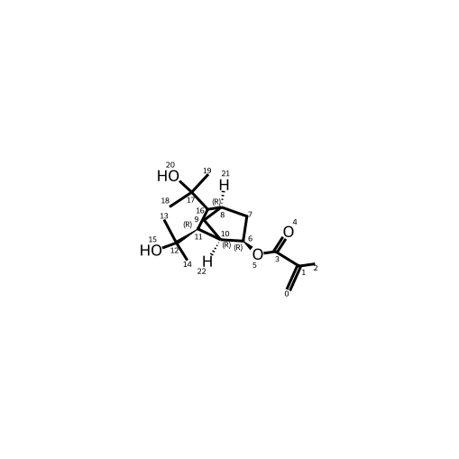 C=C(C)C(=O)O[C@@H]1C[C@H]2C[C@@H]1[C@@H](C(C)(C)O)C2C(C)(C)O